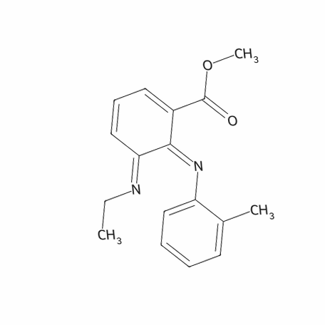 CC/N=C1\C=CC=C(C(=O)OC)\C1=N\c1ccccc1C